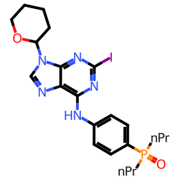 CCCP(=O)(CCC)c1ccc(Nc2nc(I)nc3c2ncn3C2CCCCO2)cc1